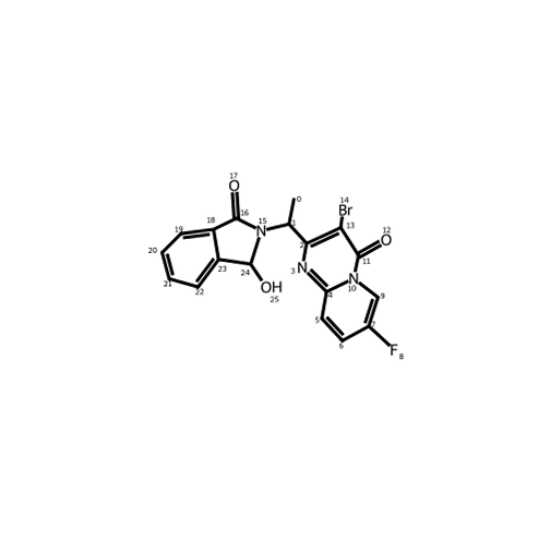 CC(c1nc2ccc(F)cn2c(=O)c1Br)N1C(=O)c2ccccc2C1O